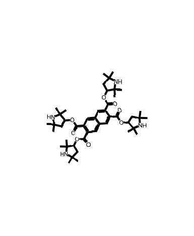 CC1(C)CC(OC(=O)c2cc3cc(C(=O)OC4CC(C)(C)NC4(C)C)c(C(=O)OC4CC(C)(C)NC4(C)C)cc3cc2C(=O)OC2CC(C)(C)NC2(C)C)C(C)(C)N1